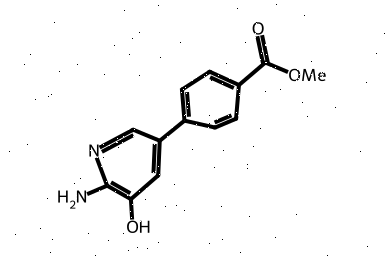 COC(=O)c1ccc(-c2cnc(N)c(O)c2)cc1